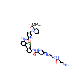 COC(=O)[C@@H]1CCCCN1Cc1ccc(C(=O)Nc2cccc(-c3cccc(NC(=O)c4ccc(CNCCNC(=O)CCCN)cn4)c3C)c2Cl)nc1